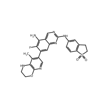 Cc1c(-c2cc3nc(Nc4ccc5c(c4)CCS5(=O)=O)ncc3c(N)c2F)cnc2c1NCCO2